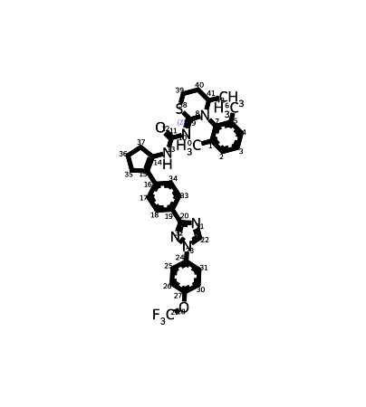 Cc1cccc(C)c1N1/C(=N/C(=O)NC2=C(c3ccc(-c4ncn(-c5ccc(OC(F)(F)F)cc5)n4)cc3)CCC2)SCCC1C